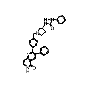 O=C(Nc1ccccc1)NC1CCN(Cc2ccc(-c3nc4cc[nH]c(=O)c4cc3-c3ccccc3)cc2)C1